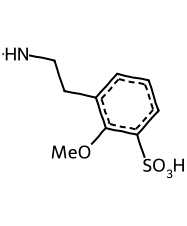 COc1c(CC[NH])cccc1S(=O)(=O)O